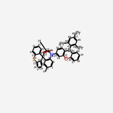 Cc1ccc2c(c1)C1(c3ccccc3Sc3ccccc31)c1cc(C)ccc1N2c1ccc2c(c1)Oc1ccccc1B2c1c(C(C)C)cc(C(C)C)cc1C(C)C